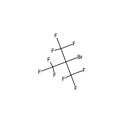 FC(F)(F)C(Br)(C(F)(F)F)C(F)(F)F